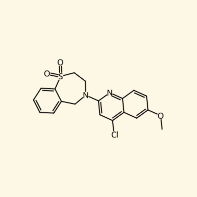 COc1ccc2nc(N3CCS(=O)(=O)c4ccccc4C3)cc(Cl)c2c1